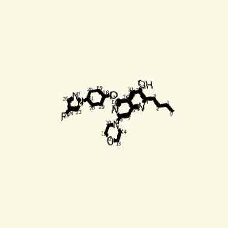 CCCCc1nc2cc(N3CCOCC3)nc(OC3CCC(n4cc(F)cn4)CC3)c2cc1O